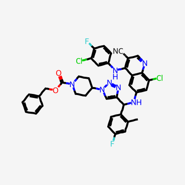 Cc1cc(F)ccc1C(Nc1cc(Cl)c2ncc(C#N)c(Nc3ccc(F)c(Cl)c3)c2c1)c1cn(C2CCN(C(=O)OCc3ccccc3)CC2)nn1